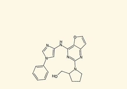 OCC1CCCN1c1nc(Nc2cn(-c3ccccc3)cn2)c2occc2n1